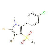 [CH2]n1c(Br)c(Br)c(S(=O)(=O)C(F)(F)F)c1-c1ccc(Cl)cc1